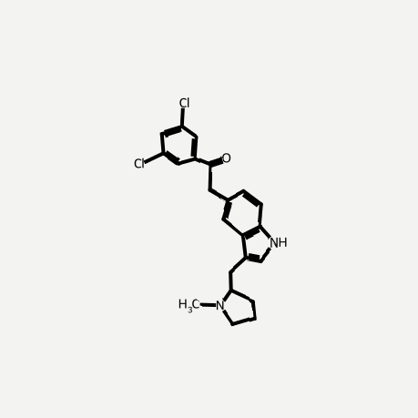 CN1CCCC1Cc1c[nH]c2ccc(CC(=O)c3cc(Cl)cc(Cl)c3)cc12